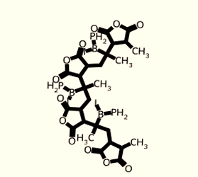 CC1C(=O)OC(=O)C1CC(C)(B(P)I)C1C(=O)OC(=O)C1CC(C)(B(P)I)C1C(=O)OC(=O)C1CC(C)(B(P)I)C1C(=O)OC(=O)C1C